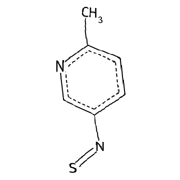 Cc1ccc(N=S)cn1